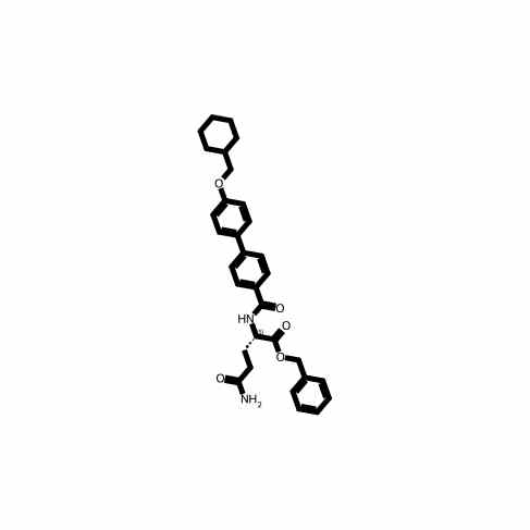 NC(=O)CC[C@H](NC(=O)c1ccc(-c2ccc(OCC3CCCCC3)cc2)cc1)C(=O)OCc1ccccc1